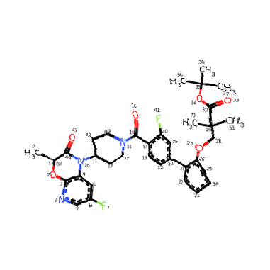 C[C@@H]1Oc2ncc(F)cc2N(C2CCN(C(=O)c3ccc(-c4ccccc4OCC(C)(C)C(=O)OC(C)(C)C)cc3F)CC2)C1=O